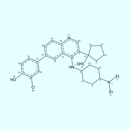 CCN(CC)C1CCC(Nc2c(C3(C=O)CCCC3)cnc3ccc(-c4ccc(O)c(Cl)c4)cc23)CC1